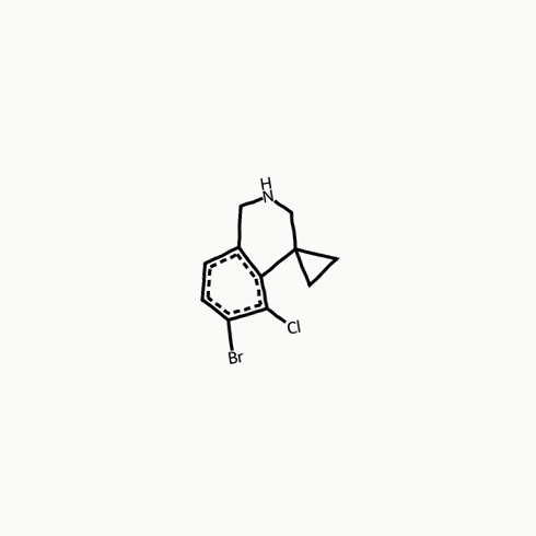 Clc1c(Br)ccc2c1C1(CC1)CNC2